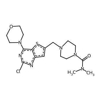 CN(C)C(=O)N1CCN(Cc2cc3nc(Cl)nc(N4CCOCC4)c3s2)CC1